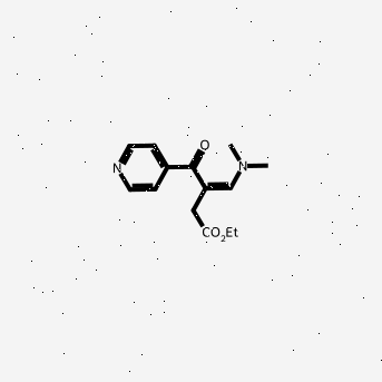 CCOC(=O)C/C(=C/N(C)C)C(=O)c1ccncc1